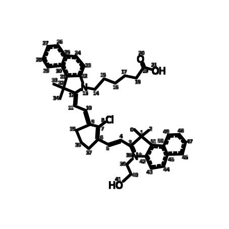 CC1(C)C(/C=C/C2=C(Cl)C(=C/C=C3\N(CCCCCC(=O)O)c4ccc5ccccc5c4C3(C)C)/CCC2)=[N+](CCO)c2ccc3ccccc3c21